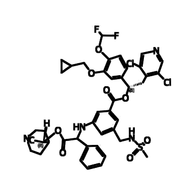 CS(=O)(=O)NCc1cc(NC(C(=O)O[C@H]2CN3CCC2CC3)c2ccccc2)cc(C(=O)O[C@@H](Cc2c(Cl)cncc2Cl)c2ccc(OC(F)F)c(OCC3CC3)c2)c1